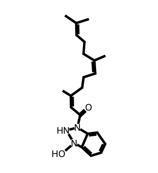 CC(C)=CCCC(C)=CCCC(C)=CC(=O)N1NN(O)c2ccccc21